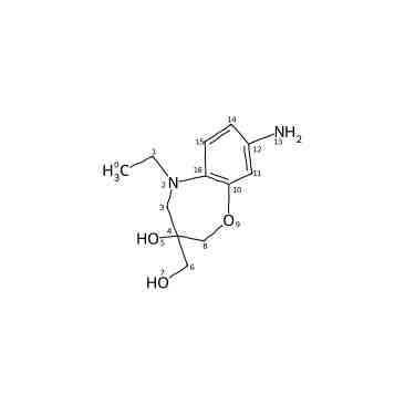 CCN1CC(O)(CO)COc2cc(N)ccc21